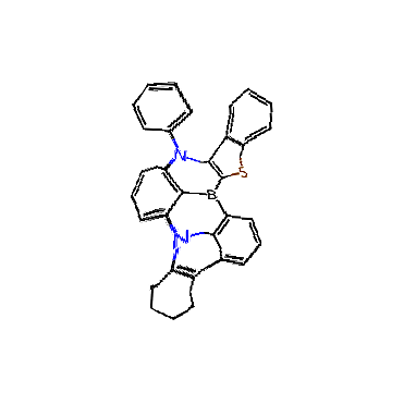 c1ccc(N2c3cccc4c3B(c3sc5ccccc5c32)c2cccc3c5c(n-4c23)CCCC5)cc1